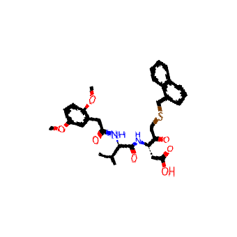 COc1ccc(OC)c(CC(=O)N[C@H](C(=O)N[C@@H](CC(=O)O)C(=O)CSCc2cccc3ccccc23)C(C)C)c1